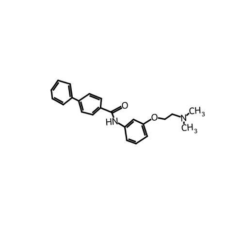 CN(C)CCOc1cccc(NC(=O)c2ccc(-c3ccccc3)cc2)c1